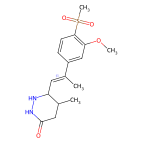 COc1cc(/C(C)=C/C2NNC(=O)CC2C)ccc1S(C)(=O)=O